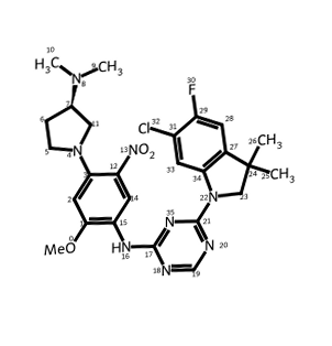 COc1cc(N2CC[C@@H](N(C)C)C2)c([N+](=O)[O-])cc1Nc1ncnc(N2CC(C)(C)c3cc(F)c(Cl)cc32)n1